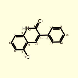 O=c1[nH]c2cccc(Cl)c2cc1-c1ccccc1